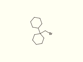 BrCC1(C2CCCCC2)CCCCC1